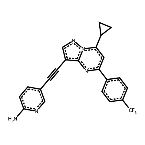 Nc1ccc(C#Cc2cnn3c(C4CC4)cc(-c4ccc(C(F)(F)F)cc4)nc23)cn1